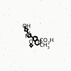 C[C@H]1CCc2c(ccc(-c3cnn(C4CC(O)C4)c3)c2OC2CCC2)N1C(=O)O